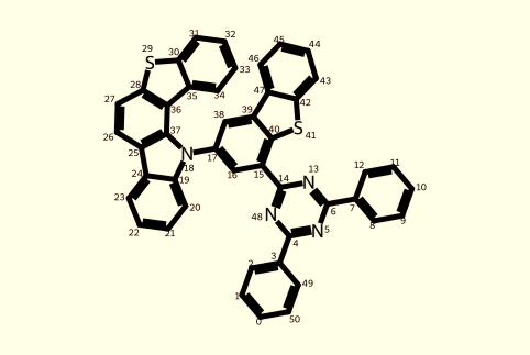 c1ccc(-c2nc(-c3ccccc3)nc(-c3cc(-n4c5ccccc5c5ccc6sc7ccccc7c6c54)cc4c3sc3ccccc34)n2)cc1